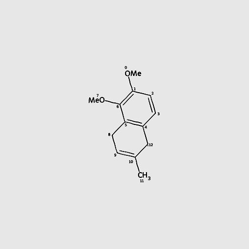 COc1ccc2c(c1OC)CC=C(C)[CH]2